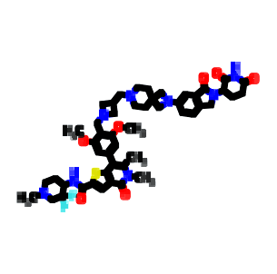 COc1cc(-c2c(C)n(C)c(=O)c3cc(C(=O)NC4CCN(C)CC4(F)F)sc23)cc(OC)c1CN1CC(CN2CCC3(CC2)CN(c2ccc4c(c2)C(=O)N(C2CCC(=O)NC2=O)C4)C3)C1